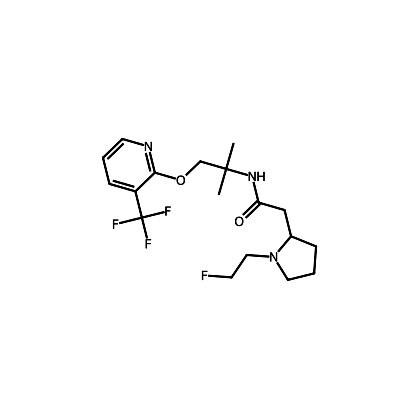 CC(C)(COc1ncccc1C(F)(F)F)NC(=O)CC1CCCN1CCF